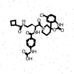 O=C(O)Nc1ccc(C(=O)N[C@@H](CCNC(=O)C2CCC2)C(=O)N2CCCC3(C2)OC(=O)Nc2ccc(Cl)cc23)cc1